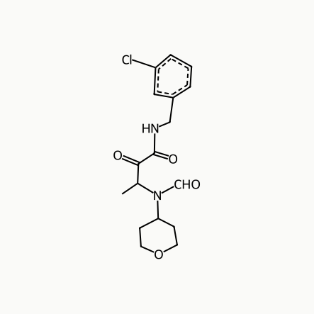 CC(C(=O)C(=O)NCc1cccc(Cl)c1)N(C=O)C1CCOCC1